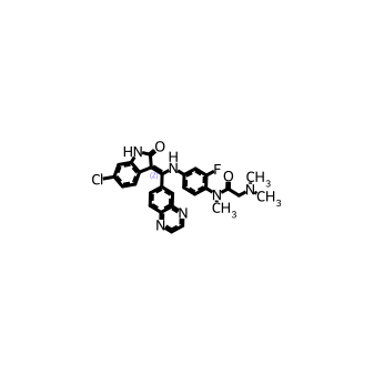 CN(C)CC(=O)N(C)c1ccc(N/C(=C2\C(=O)Nc3cc(Cl)ccc32)c2ccc3nccnc3c2)cc1F